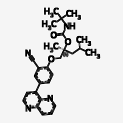 CC(C)C[C@@](C)(COc1ccc(-c2ccnc3cccnc23)cc1C#N)OC(=O)NC(C)(C)C